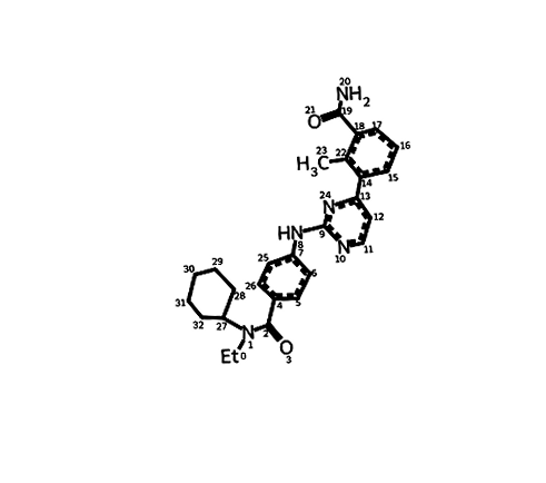 CCN(C(=O)c1ccc(Nc2nccc(-c3cccc(C(N)=O)c3C)n2)cc1)C1CCCCC1